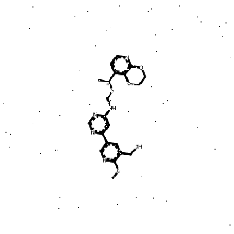 COc1ncc(-c2cc(NCS[C@@H](C)c3ccnc4c3OCCO4)ncn2)cc1CO